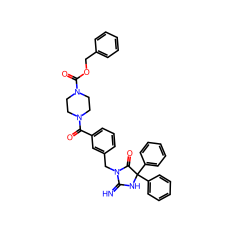 N=C1NC(c2ccccc2)(c2ccccc2)C(=O)N1Cc1cccc(C(=O)N2CCN(C(=O)OCc3ccccc3)CC2)c1